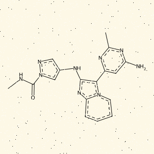 CNC(=O)n1cc(Nc2nc3ccccn3c2-c2cc(N)nc(C)n2)cn1